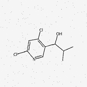 CC(C)C(O)c1cnc(Cl)cc1Cl